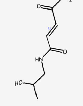 CC(O)CNC(=O)/C=C/C(N)=O